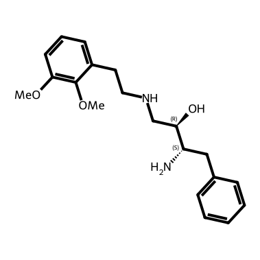 COc1cccc(CCNC[C@@H](O)[C@@H](N)Cc2ccccc2)c1OC